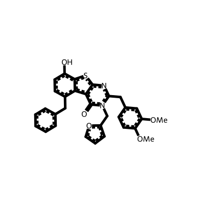 COc1ccc(Cc2nc3sc4c(O)ccc(Cc5ccccc5)c4c3c(=O)n2Cc2ccco2)cc1OC